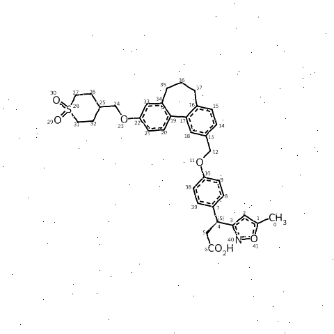 Cc1cc([C@@H](CC(=O)O)c2ccc(OCc3ccc4c(c3)-c3ccc(OCC5CCS(=O)(=O)CC5)cc3CCC4)cc2)no1